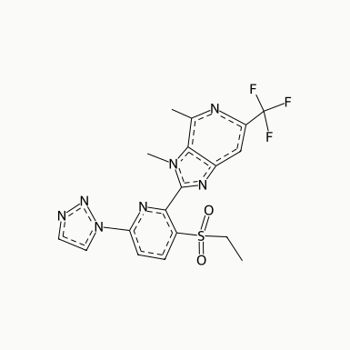 CCS(=O)(=O)c1ccc(-n2ccnn2)nc1-c1nc2cc(C(F)(F)F)nc(C)c2n1C